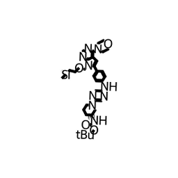 CC(C)(C)OC(=O)N[C@@H]1CCCN(c2cnc(Nc3ccc(-c4cc5c(N6CCOCC6)ncnc5n4COCC[Si](C)(C)C)cc3)cn2)C1